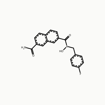 NC(=O)c1ccc2ccc(C(=O)N(O)Cc3ccc(F)cc3)cc2c1